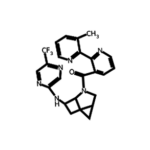 Cc1cccnc1-c1ncccc1C(=O)N1CC2CC23CC(Nc2cnc(C(F)(F)F)cn2)C13